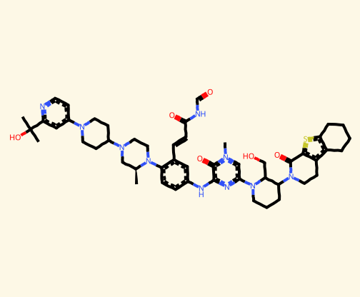 C[C@H]1CN(C2CCN(c3ccnc(C(C)(C)O)c3)CC2)CCN1c1ccc(Nc2nc(N3CCCC(N4CCc5c(sc6c5CCCC6)C4=O)C3CO)cn(C)c2=O)cc1C=CC(=O)NC=O